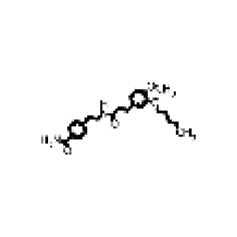 CCCCCOc1cc(/C=C/C(=O)NCCc2ccc(C(N)=O)cc2)ccc1OC